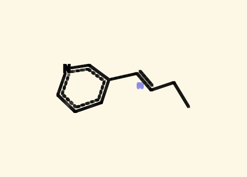 CC/C=C/c1cccnc1